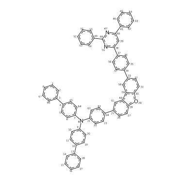 c1ccc(-c2ccc(N(c3ccc(-c4ccccc4)cc3)c3ccc(-c4ccc5oc6ccc(-c7ccc(-c8cc(-c9ccccc9)nc(-c9ccccc9)n8)cc7)cc6c5c4)cc3)cc2)cc1